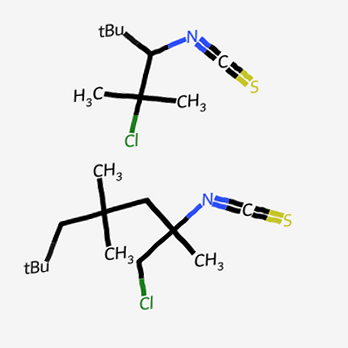 CC(C)(C)C(N=C=S)C(C)(C)Cl.CC(C)(C)CC(C)(C)CC(C)(CCl)N=C=S